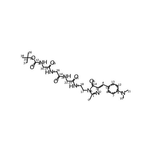 CC1=N/C(=C\c2ccc(N(C)C)cc2)C(=O)N1CCNC(=O)CNC(=O)CNC(=O)CNC(=O)OC(C)(C)C